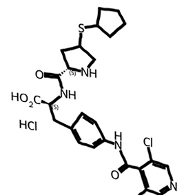 Cl.O=C(Nc1ccc(C[C@H](NC(=O)[C@@H]2CC(SC3CCCC3)CN2)C(=O)O)cc1)c1c(Cl)cncc1Cl